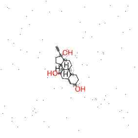 C#C[C@]1(O)CC[C@H]2[C@@H]3[C@H](O)CC4=C[C@H](O)CC[C@]4(C)[C@H]3CC[C@@]21C